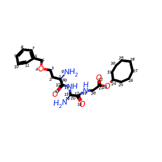 N[C@H](CCOCc1ccccc1)C(=O)N[C@H](N)C(=O)NCC(=O)OC1CCCCCCC1